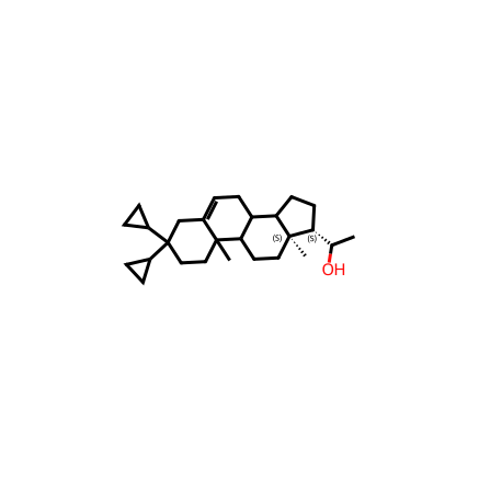 CC(O)[C@H]1CCC2C3CC=C4CC(C5CC5)(C5CC5)CCC4(C)C3CC[C@@]21C